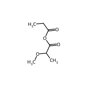 CCC(=O)OC(=O)C(C)OC